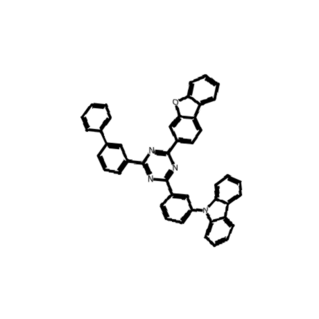 c1ccc(-c2cccc(-c3nc(-c4cccc(-n5c6ccccc6c6ccccc65)c4)nc(-c4ccc5c(c4)oc4ccccc45)n3)c2)cc1